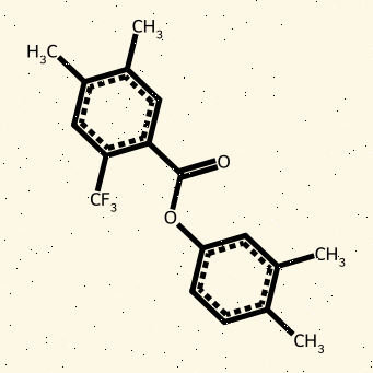 Cc1ccc(OC(=O)c2cc(C)c(C)cc2C(F)(F)F)cc1C